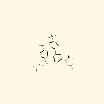 CC(=O)C(CC(C)C)c1cc(NC(CCC(C)C)c2ccc(C(F)(F)F)cc2)cc(-c2ccc(C(F)(F)F)cc2)c1